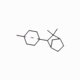 CC12CCC(C3C4CCC(C4)C3(C)C)(CC1)CO2